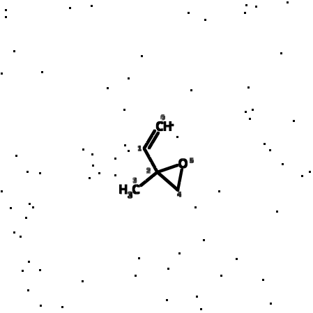 [CH]=CC1(C)CO1